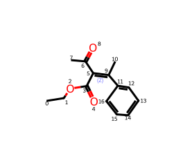 CCOC(=O)/C(C(C)=O)=C(/C)c1ccccc1